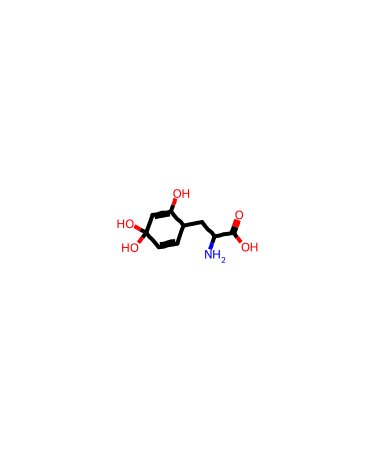 NC(CC1C=CC(O)(O)C=C1O)C(=O)O